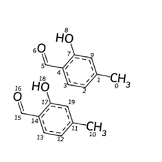 Cc1ccc(C=O)c(O)c1.Cc1ccc(C=O)c(O)c1